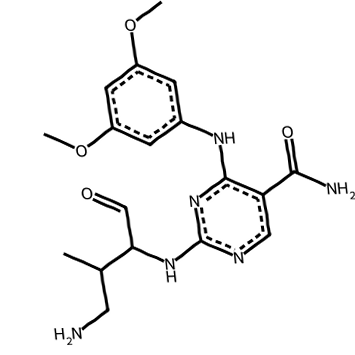 COc1cc(Nc2nc(NC(C=O)C(C)CN)ncc2C(N)=O)cc(OC)c1